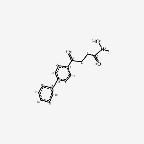 CN(O)C(=O)CCC(=O)c1ccc(-c2ccccc2)cc1